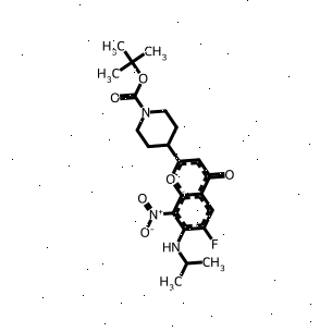 CC(C)Nc1c(F)cc2c(=O)cc(C3CCN(C(=O)OC(C)(C)C)CC3)oc2c1[N+](=O)[O-]